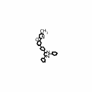 Cc1cnc2c(c1)oc1ccc(-c3ccc(-c4cc(-c5ccccc5)nc(-c5ccccc5)n4)cc3)cc12